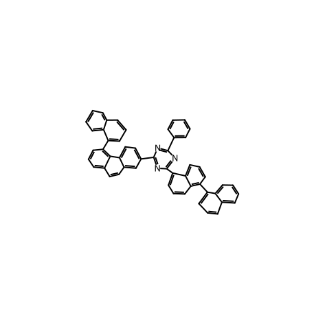 c1ccc(-c2nc(-c3ccc4c(ccc5cccc(-c6cccc7ccccc67)c54)c3)nc(-c3cccc4c(-c5cccc6ccccc56)cccc34)n2)cc1